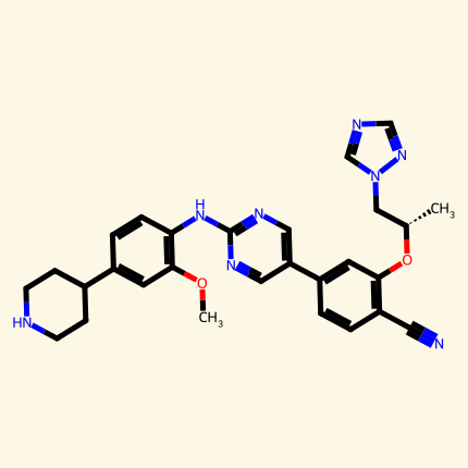 COc1cc(C2CCNCC2)ccc1Nc1ncc(-c2ccc(C#N)c(O[C@@H](C)Cn3cncn3)c2)cn1